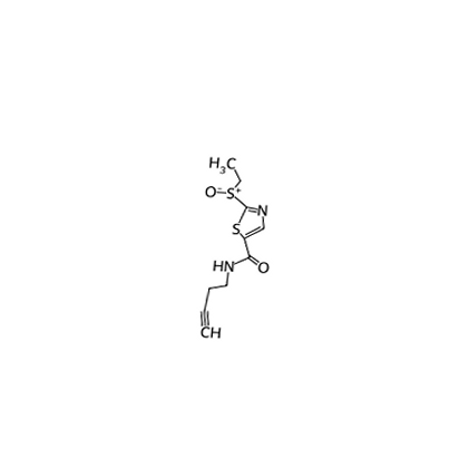 C#CCCNC(=O)c1cnc([S+]([O-])CC)s1